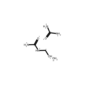 NC(=O)NCO.NC(N)=O.O